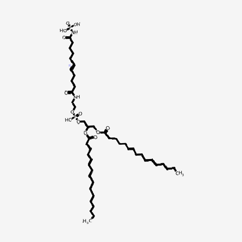 CCCCCCCCCCCCCCCC(=O)OCC(COP(=O)(O)OCCNC(=O)CCC/C=C/CCCCC(=O)NP(=O)(O)O)OC(=O)CCCCCCCCCCCCCCC